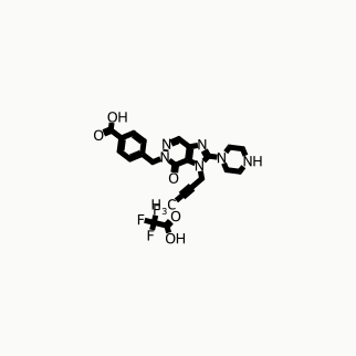 CC#CCn1c(N2CCNCC2)nc2cnn(Cc3ccc(C(=O)O)cc3)c(=O)c21.O=C(O)C(F)(F)F